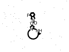 O=C(OC1CC2CNC3CC3CCCCCCCCCN2C1)N1Cc2cccc(F)c2C1